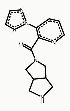 O=C(c1ncccc1-n1nccn1)N1CC2CNCC2C1